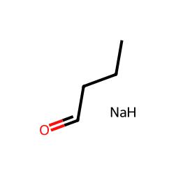 CCCC=O.[NaH]